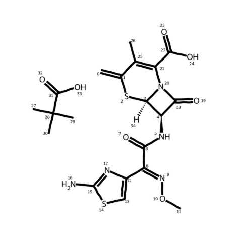 C=C1S[C@@H]2[C@H](NC(=O)C(=NOC)c3csc(N)n3)C(=O)N2C(C(=O)O)=C1C.CC(C)(C)C(=O)O